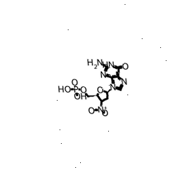 Nc1nc2c(ncn2[C@H]2CC([N+](=O)[O-])[C@@H](COP(=O)(O)O)O2)c(=O)[nH]1